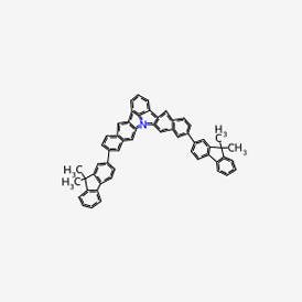 CC1(C)c2ccccc2-c2ccc(-c3ccc4cc5c6cccc7c8cc9ccc(-c%10ccc%11c(c%10)C(C)(C)c%10ccccc%10-%11)cc9cc8n(c5cc4c3)c67)cc21